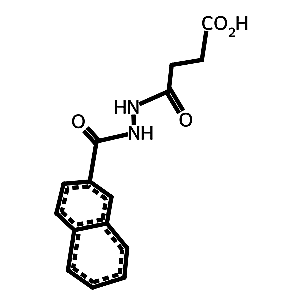 O=C(O)CCC(=O)NNC(=O)c1ccc2ccccc2c1